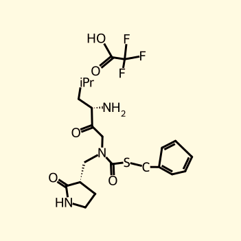 CC(C)C[C@H](N)C(=O)CN(C[C@@H]1CCNC1=O)C(=O)SCc1ccccc1.O=C(O)C(F)(F)F